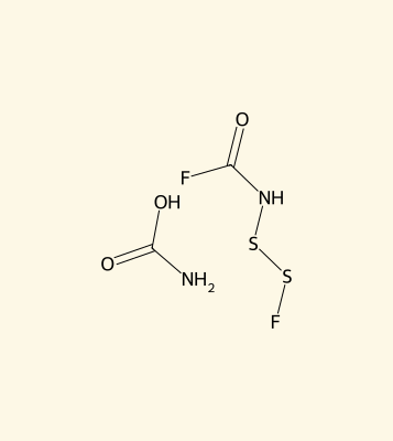 NC(=O)O.O=C(F)NSSF